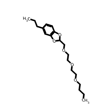 CCCCOCCOCCOCC1Oc2ccc(CCC)cc2O1